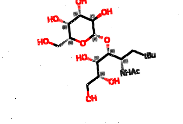 CC(=O)N[C@@H](CC(C)(C)C)[C@@H](O[C@@H]1O[C@H](CO)[C@H](O)[C@H](O)[C@H]1O)[C@@H](O)[C@H](O)CO